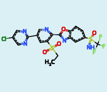 CCS(=O)(=O)c1cc(-c2ncc(Cl)cn2)cnc1-c1nc2cc(S(=N)(=O)C(F)(F)F)ccc2o1